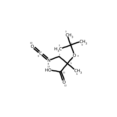 CC(C)(C)OC(C)(CN=C=O)C(=O)O